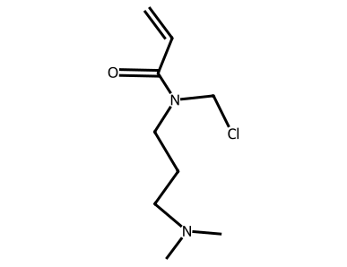 C=CC(=O)N(CCl)CCCN(C)C